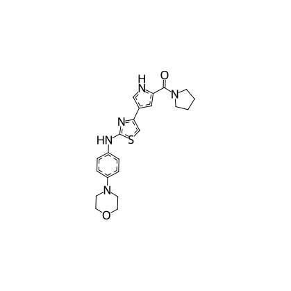 O=C(c1cc(-c2csc(Nc3ccc(N4CCOCC4)cc3)n2)c[nH]1)N1CCCC1